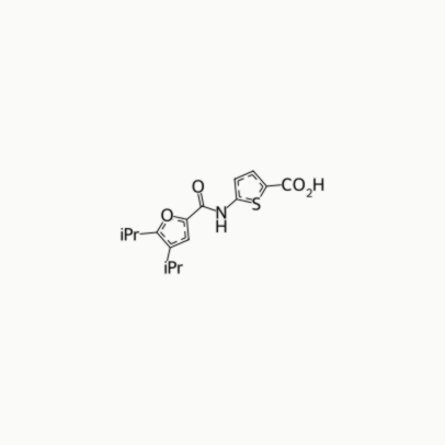 CC(C)c1cc(C(=O)Nc2ccc(C(=O)O)s2)oc1C(C)C